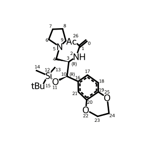 C=C(N[C@H](CN1CCCC1)[C@H](O[Si](C)(C)C(C)(C)C)c1ccc2c(c1)OCCO2)C(C)=O